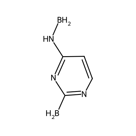 BNc1ccnc(B)n1